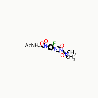 CC(=O)NC[C@H]1CN(c2ccc(N3CCN(CC(=O)N(C)C)C(=O)C3)c(F)c2)C(=O)O1